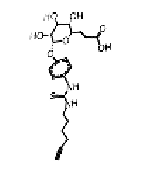 C#CCCCCNC(=S)Nc1ccc(O[C@H]2O[C@H](CCC(=O)O)[C@@H](O)[C@H](O)[C@@H]2O)cc1